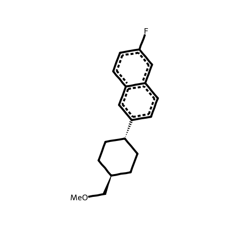 COC[C@H]1CC[C@H](c2ccc3cc(F)ccc3c2)CC1